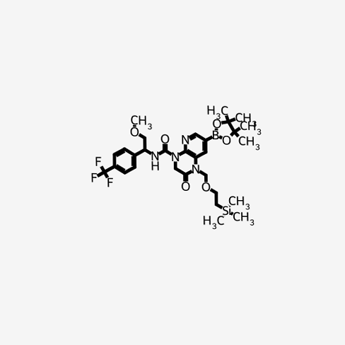 COCC(NC(=O)N1CC(=O)N(COCC[Si](C)(C)C)c2cc(B3OC(C)(C)C(C)(C)O3)cnc21)c1ccc(C(F)(F)F)cc1